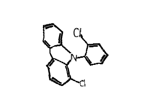 Clc1ccccc1-n1c2ccccc2c2cccc(Cl)c21